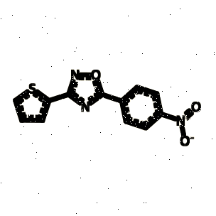 O=[N+]([O-])c1ccc(-c2nc(-c3cccs3)no2)cc1